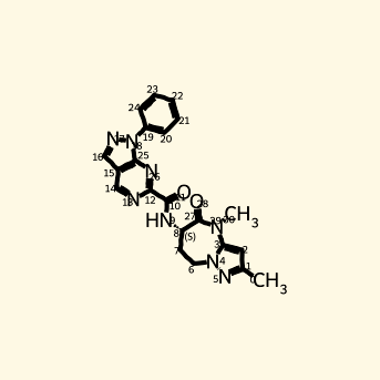 Cc1cc2n(n1)CC[C@H](NC(=O)c1ncc3cnn(-c4ccccc4)c3n1)C(=O)N2C